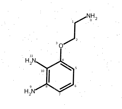 NCCOc1cccc(N)c1N